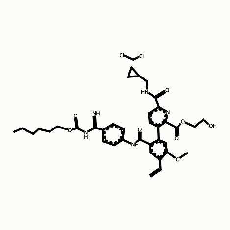 C=Cc1cc(C(=O)Nc2ccc(C(=N)NC(=O)OCCCCCC)cc2)c(-c2ccc(C(=O)NCC3CC3)nc2C(=O)OCCO)cc1OC.ClCCl